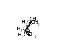 C.CCC(C)C(=O)OC(C)COCCOC(C)(C)C